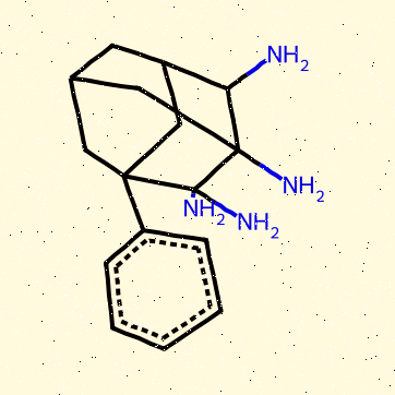 NC1C2CC3CC(c4ccccc4)(C2)C(N)(N)C1(N)C3